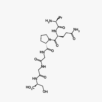 CC(C)[C@H](N)C(=O)N[C@@H](CCC(N)=O)C(=O)N1CCC[C@H]1C(=O)NCC(=O)NCC(=O)N[C@@H](CO)C(=O)O